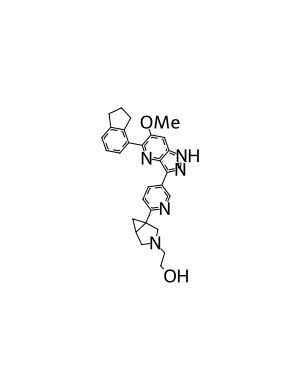 COc1cc2[nH]nc(-c3ccc(C45CC4CN(CCO)C5)nc3)c2nc1-c1cccc2c1CCC2